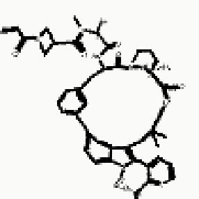 C=CC(=O)N1CC(C(=O)N(C)[C@H](C(=O)NC2Cc3cccc(c3)-c3ccc4c(c3)c(c(-c3cccnc3[C@H](C)OC)n4CC)CC(C)(C)COC(=O)[C@@H]3CCCN(N3)C2=O)C(C)C)C1